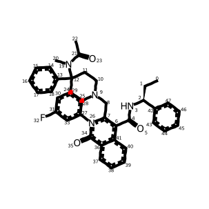 CC[C@H](NC(=O)c1c(CN2CCC(c3ccccc3)(N(C)C(C)=O)CC2)n(-c2cccc(F)c2)c(=O)c2ccccc12)c1ccccc1